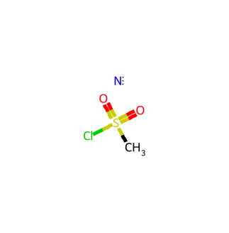 CS(=O)(=O)Cl.[N]